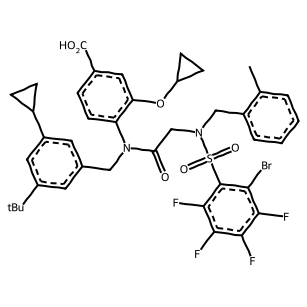 Cc1ccccc1CN(CC(=O)N(Cc1cc(C2CC2)cc(C(C)(C)C)c1)c1ccc(C(=O)O)cc1OC1CC1)S(=O)(=O)c1c(F)c(F)c(F)c(F)c1Br